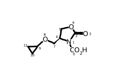 O=C(O)N1C(=O)OC[C@@H]1COC1CC1